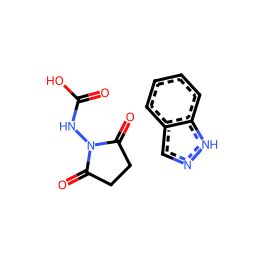 O=C(O)NN1C(=O)CCC1=O.c1ccc2[nH]ncc2c1